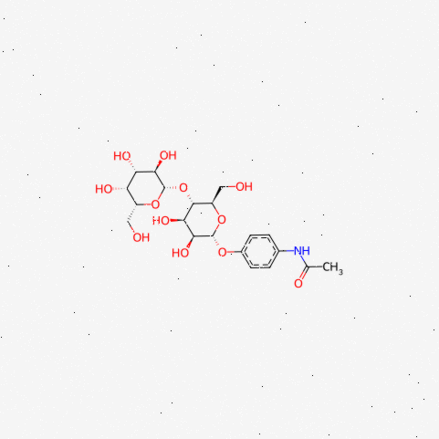 CC(=O)Nc1ccc(O[C@H]2O[C@H](CO)[C@@H](O[C@@H]3O[C@H](CO)[C@H](O)[C@H](O)[C@H]3O)[C@H](O)[C@@H]2O)cc1